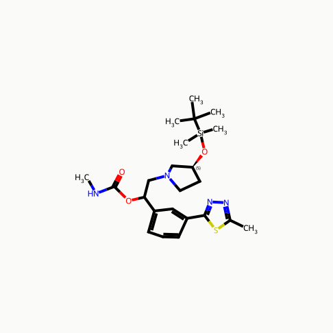 CNC(=O)OC(CN1CC[C@H](O[Si](C)(C)C(C)(C)C)C1)c1cccc(-c2nnc(C)s2)c1